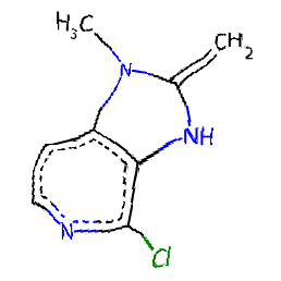 C=C1Nc2c(ccnc2Cl)N1C